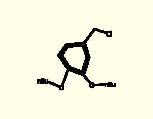 CCCCOc1ccc(CCl)cc1OCCCC